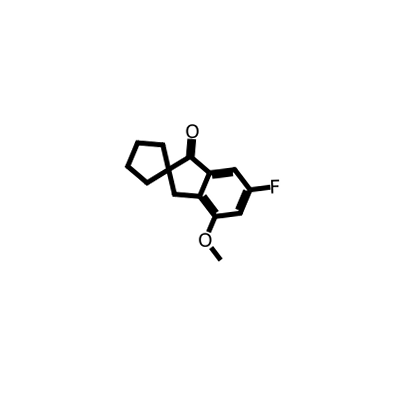 COc1cc(F)cc2c1CC1(CCCC1)C2=O